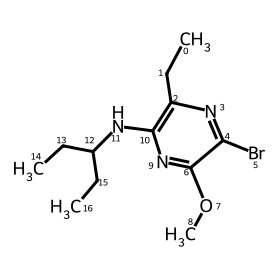 CCc1nc(Br)c(OC)nc1NC(CC)CC